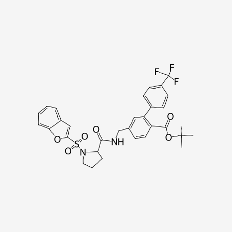 CC(C)(C)OC(=O)c1ccc(CNC(=O)C2CCCN2S(=O)(=O)c2cc3ccccc3o2)cc1-c1ccc(C(F)(F)F)cc1